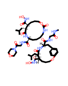 CC(C)C[C@H]1C(=O)N[C@H](C(=O)NCC(=O)N2CCOCC2)CCCCNC(=O)OCCC[C@@H]1C(=O)NO.CNC(=O)CNC(=O)[C@@H]1Cc2ccc(cc2)OCCC[C@H](C(=O)NO)[C@@H](CC(C)C)C(=O)N1